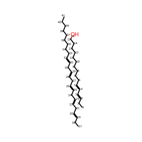 CCC=CC=CCCCCCCCCCCO.CCC=CCC=CCC=CCC=CCC=CCCCCCCCCC